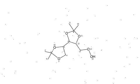 CC1(C)OCC(C2OC(C)(C)OC2COO)O1